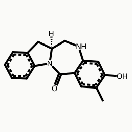 Cc1cc2c(cc1O)NC[C@@H]1Cc3ccccc3N1C2=O